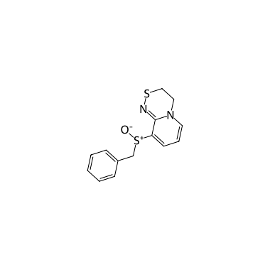 [O-][S+](Cc1ccccc1)C1=CC=CN2CCSN=C12